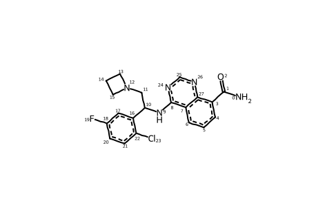 NC(=O)c1cccc2c(NC(CN3CCC3)c3cc(F)ccc3Cl)ncnc12